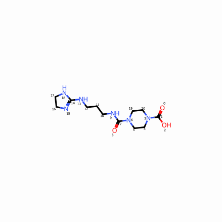 O=C(O)N1CCN(C(=O)NCCCNC2=NCCN2)CC1